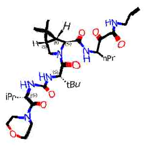 C=CCNC(=O)C(=O)C(CCC)NC(=O)[C@@H]1[C@@H]2[C@H](CN1C(=O)[C@@H](NC(=O)N[C@H](C(=O)N1CCOCC1)C(C)C)C(C)(C)C)C2(C)C